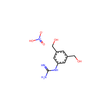 N=C(N)Nc1cc(CO)cc(CO)c1.O=[N+]([O-])O